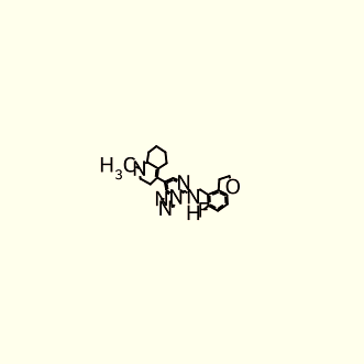 CN1CCC(c2cnc(NCc3c(F)ccc4c3CCO4)n3cnnc23)=C2CCCCC21